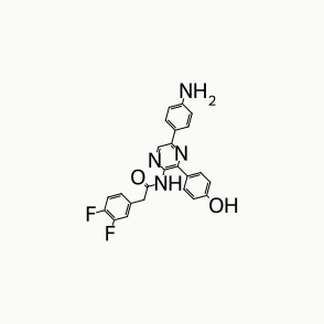 Nc1ccc(-c2cnc(NC(=O)Cc3ccc(F)c(F)c3)c(-c3ccc(O)cc3)n2)cc1